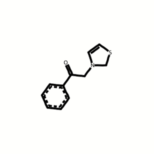 O=C(CN1C=CSC1)c1ccccc1